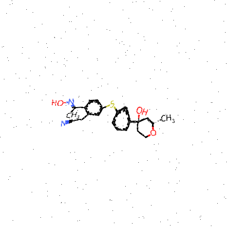 C/C(=N\O)c1ccc(Sc2cccc([C@@]3(O)CCO[C@@H](C)C3)c2)cc1CC#N